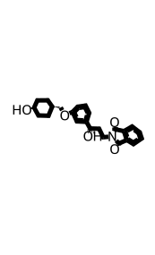 O=C1c2ccccc2C(=O)N1CC[C@@H](O)c1cccc(OC[C@H]2CC[C@@H](O)CC2)c1